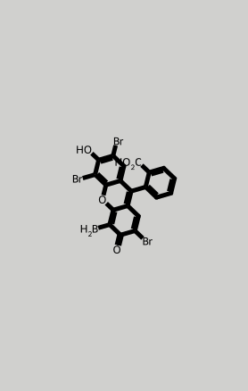 Bc1c2oc3c(Br)c(O)c(Br)cc3c(-c3ccccc3C(=O)O)c-2cc(Br)c1=O